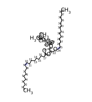 CCCCCCCCC/C=C\CCCCCCCC(=O)O[C@H](CO/C=C\CCCCCCCCCCCCCC)COP(=O)([O-])OCC[N+](C)(C)C